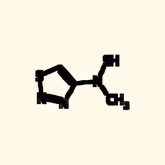 CN(S)c1csnn1